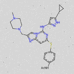 CC(=O)Nc1ccc(Sc2cc3nc(CN4CCN(C)CC4)cn3c(Nc3cc(C4CC4)[nH]n3)n2)cc1